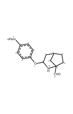 CCCCCc1ccc(OC2CC3CCC(C=O)(C3)N2)cc1